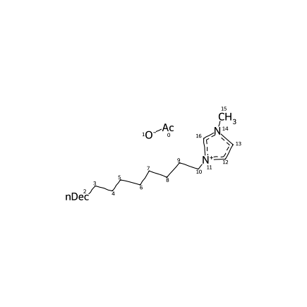 CC(=O)[O-].CCCCCCCCCCCCCCCCCC[n+]1ccn(C)c1